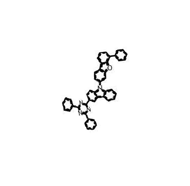 c1ccc(-c2nc(-c3ccccc3)nc(-c3ccc4c(c3)c3ccccc3n4-c3ccc4c(c3)oc3c(-c5ccccc5)cccc34)n2)cc1